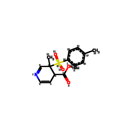 CCCCOC(=O)C1C=CN=CC1(C)S(=O)(=O)c1ccc(C)cc1